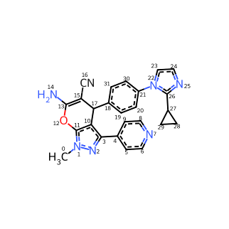 Cn1nc(-c2ccncc2)c2c1OC(N)=C(C#N)C2c1ccc(-n2ccnc2C2CC2)cc1